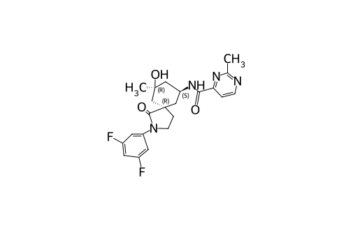 Cc1nccc(C(=O)N[C@@H]2C[C@](C)(O)C[C@@]3(CCN(c4cc(F)cc(F)c4)C3=O)C2)n1